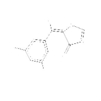 O=C1N=CNC1=C(O)c1cc(F)cc(F)c1